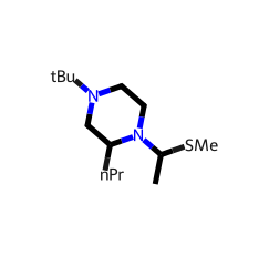 CCCC1CN(C(C)(C)C)CCN1C(C)SC